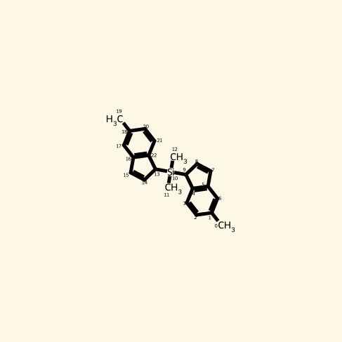 Cc1ccc2c(c1)C=CC2[Si](C)(C)C1C=Cc2cc(C)ccc21